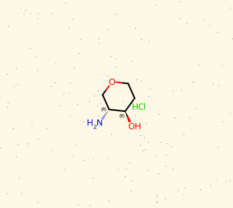 Cl.N[C@@H]1COCC[C@H]1O